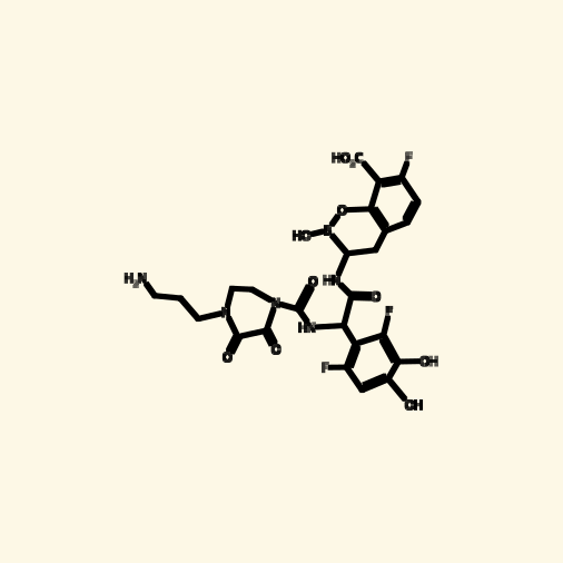 NCCCN1CCN(C(=O)NC(C(=O)NC2Cc3ccc(F)c(C(=O)O)c3OB2O)c2c(F)cc(O)c(O)c2F)C(=O)C1=O